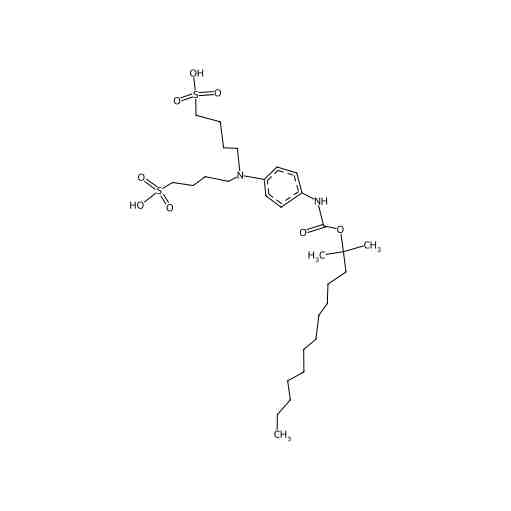 CCCCCCCCCCCC(C)(C)OC(=O)Nc1ccc(N(CCCCS(=O)(=O)O)CCCCS(=O)(=O)O)cc1